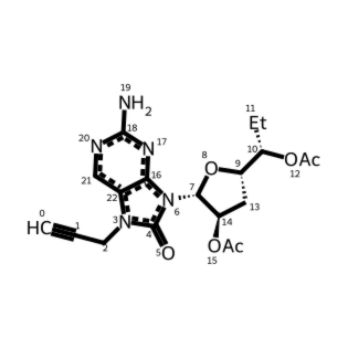 C#CCn1c(=O)n([C@@H]2O[C@H]([C@H](CC)OC(C)=O)C[C@H]2OC(C)=O)c2nc(N)ncc21